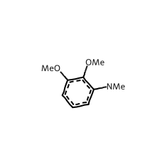 [CH2]Nc1cccc(OC)c1OC